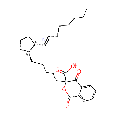 CCCCCC/C=C/[C@H]1CCC[C@@H]1CCCCCC1(C(=O)O)OC(=O)c2ccccc2C1=O